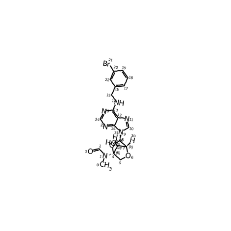 CN(C=O)[C@]12CO[C@@H]([C@H](n3cnc4c(NCc5cccc(Br)c5)ncnc43)O1)[C@@H]2O